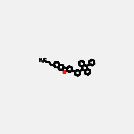 CCCCc1ccc2cc3c(cc2c1)oc1cc(-c2cccc(-c4c5ccccc5c(-c5ccccc5)c5ccccc45)c2)ccc13